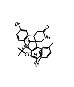 Cc1ccc(Cl)cc1[C@H]1NC(=O)C[C@@H](c2cc(Br)ccc2OC(C)(C)C(=O)O)[C@]12C(=O)Nc1cc(Cl)ccc12